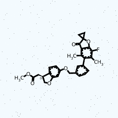 COC(=O)C[C@@H]1COc2cc(OCc3cccc(-c4c(C)c(F)c5c(c4C)C(=O)C4(CC4)O5)c3)ccc21